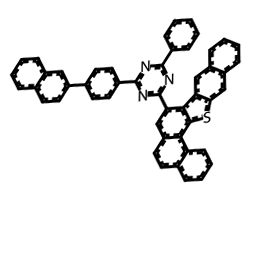 c1ccc(-c2nc(-c3ccc(-c4ccc5ccccc5c4)cc3)nc(-c3cc4ccc5ccccc5c4c4sc5cc6ccccc6cc5c34)n2)cc1